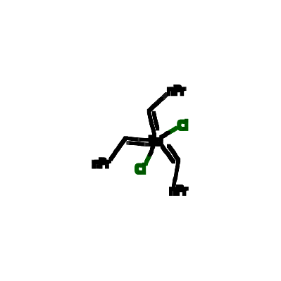 CCC[CH]=[Ru]([Cl])([Cl])(=[CH]CCC)=[CH]CCC